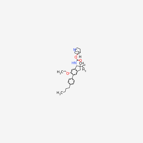 CCCCc1ccc(-c2cc3c(cc2OCC)[C@H](NC(=O)O[C@H]2CN4CCC2CC4)C(C)(C)C3)cc1